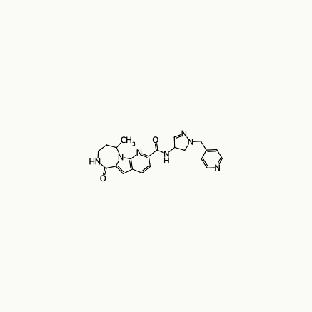 CC1CCNC(=O)c2cc3ccc(C(=O)NC4C=NN(Cc5ccncc5)C4)nc3n21